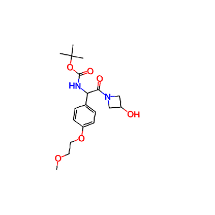 COCCOc1ccc(C(NC(=O)OC(C)(C)C)C(=O)N2CC(O)C2)cc1